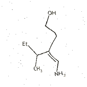 CCC(C)/C(=C\N)CCO